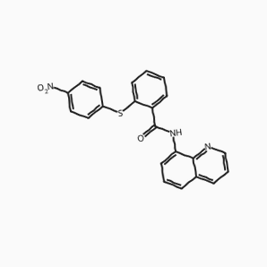 O=C(Nc1cccc2cccnc12)c1ccccc1Sc1ccc([N+](=O)[O-])cc1